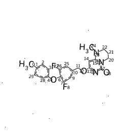 Cc1ccc(Oc2c(F)cc(COc3cc4n(c(=O)n3)CCCN4C)cc2F)cc1